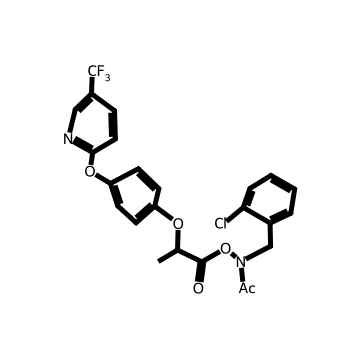 CC(=O)N(Cc1ccccc1Cl)OC(=O)C(C)Oc1ccc(Oc2ccc(C(F)(F)F)cn2)cc1